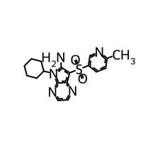 Cc1ccc(S(=O)(=O)c2c(N)n(C3CCCCC3)c3nccnc23)cn1